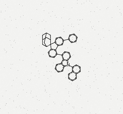 c1ccc(-c2ccc3c(c2)-c2c(-c4cccc5c4c4ccccc4n5-c4cccc5ccccc45)cccc2C32C3CC4CC(C3)CC2C4)cc1